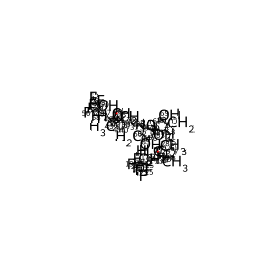 C=C1C(=CC=C[C@@H]2CC[C@](C)([C@H](C)CCCC(O)(C(F)(F)F)C(F)(F)F)C2(C)C)C[C@](O)([C@]2(O)CC(=CC=C[C@@H]3CC[C@](C)([C@@H](C)CCCC(O)(C(F)(F)F)C(F)(F)F)C3(C)C)C(=C)[C@@H](O)C2)C[C@@H]1O